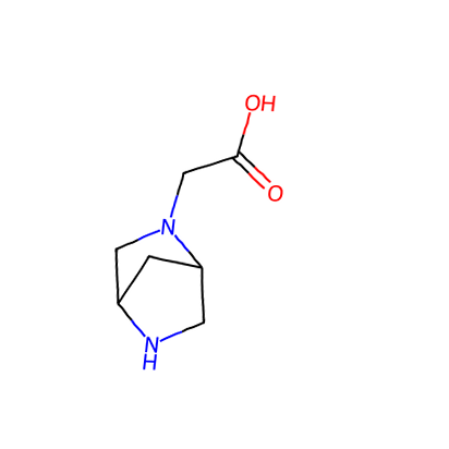 O=C(O)CN1CC2CC1CN2